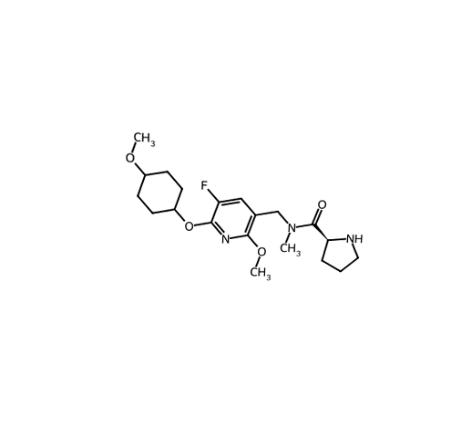 COc1nc(OC2CCC(OC)CC2)c(F)cc1CN(C)C(=O)[C@@H]1CCCN1